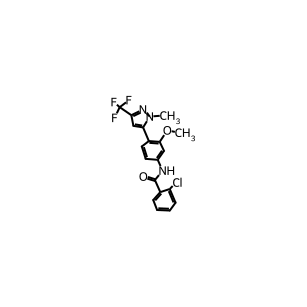 COc1cc(NC(=O)c2ccccc2Cl)ccc1-c1cc(C(F)(F)F)nn1C